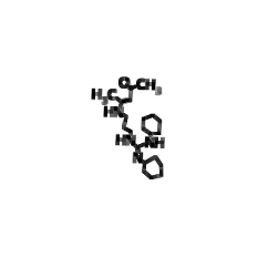 CC(=O)C=C(C)NCCCNC(=NC1CCCCC1)NC1CCCCC1